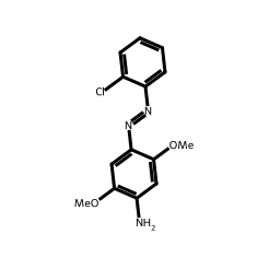 COc1cc(N=Nc2ccccc2Cl)c(OC)cc1N